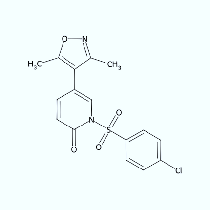 Cc1noc(C)c1-c1ccc(=O)n(S(=O)(=O)c2ccc(Cl)cc2)c1